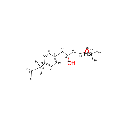 CC(C)C(C)(C)c1ccc(CC(O)CCO[SiH](C)C)cc1